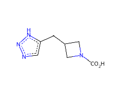 O=C(O)N1CC(Cc2cnn[nH]2)C1